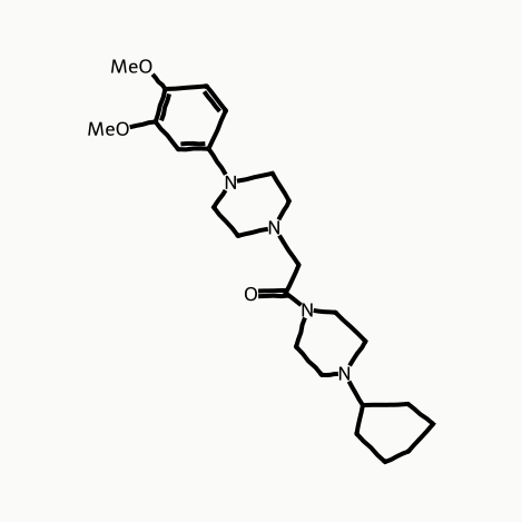 COc1ccc(N2CCN(CC(=O)N3CCN(C4CCCCC4)CC3)CC2)cc1OC